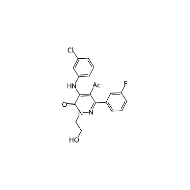 CC(=O)c1c(-c2cccc(F)c2)nn(CCO)c(=O)c1Nc1cccc(Cl)c1